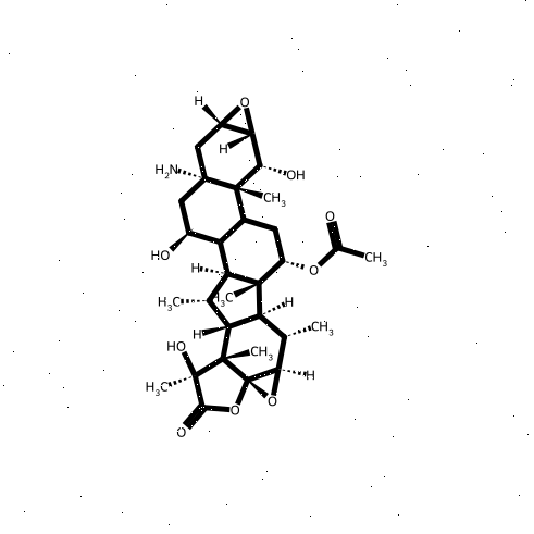 CC(=O)O[C@H]1CC2C([C@@H]3[C@@H](C)[C@@H]4[C@H]([C@H](C)[C@H]5O[C@]56OC(=O)[C@@](C)(O)[C@]46C)[C@@]13C)[C@@H](O)C[C@@]1(N)C[C@@H]3O[C@@H]3[C@H](O)[C@]21C